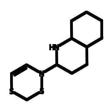 C1=CN(C2CCC3CCCCC3N2)SCS1